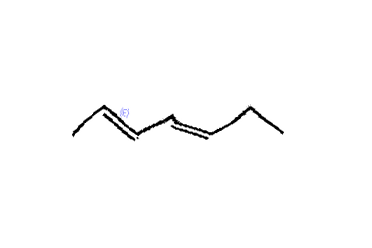 C/C=[C]/C=CCC